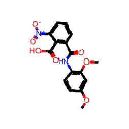 COc1ccc(NC(=O)c2cccc([N+](=O)[O-])c2C(=O)O)c(OC)c1